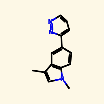 Cc1cn(C)c2ccc(-c3cccnn3)cc12